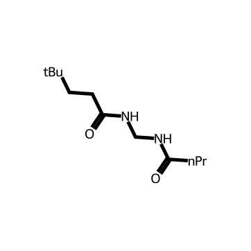 CCCC(=O)NCNC(=O)CCC(C)(C)C